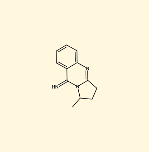 CC1CCc2nc3ccccc3c(=N)n21